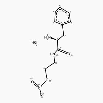 Cl.N[C@@H](Cc1ccccc1)C(=O)NCCO[N+](=O)[O-]